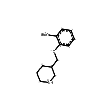 CC(C)COc1ccccc1OCC1CCCNC1